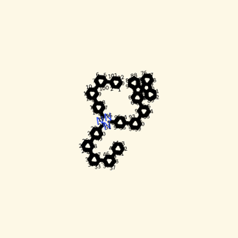 c1ccc(-c2cccc(-c3cccc(-c4ccc(-c5nc(-c6ccc(-c7cccc(-c8cccc(-c9cccc(-c%10ccccc%10)c9)c8)c7)cc6)nc(-c6ccc(-c7cccc(-c8cccc(-c9ccc%10c(c9)C9(c%11ccccc%11-c%11ccccc%119)c9ccccc9-%10)c8)c7)cc6)n5)cc4)c3)c2)cc1